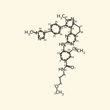 COCCCNC(=O)c1ccc(Nc2ncc3c(n2)-c2c(nn(C)c2-c2ccc(-c4cnn(C)c4)cc2)CC3)c(OC)c1